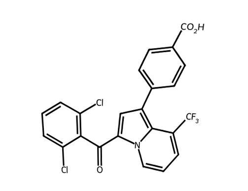 O=C(O)c1ccc(-c2cc(C(=O)c3c(Cl)cccc3Cl)n3cccc(C(F)(F)F)c23)cc1